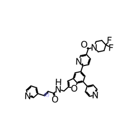 O=C(/C=C/c1cccnc1)NCc1cc2cc(-c3ccc(C(=O)N4CCC(F)(F)CC4)cn3)cc(-c3ccncc3)c2o1